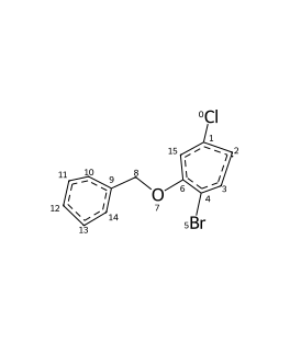 Clc1[c]cc(Br)c(OCc2ccccc2)c1